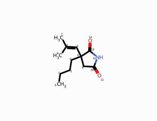 CCCCC1(C=C(C)C)CC(=O)NC1=O